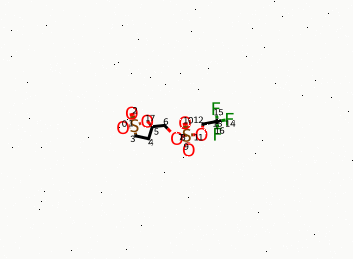 O=S1(=O)CCC(COS(=O)(=O)OCC(F)(F)F)O1